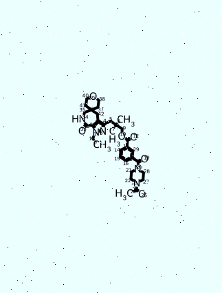 CCn1nc(CC(C)(C)COC(=O)c2cccc(C(=O)N3CCN(C(C)=O)CC3)c2)c2c1C(=O)NCC1(CCOCC1)C2